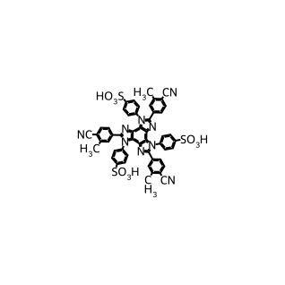 Cc1cc(-c2nc3c(c4nc(-c5ccc(C#N)c(C)c5)n(-c5ccc(S(=O)(=O)O)cc5)c4c4nc(-c5ccc(C#N)c(C)c5)n(-c5ccc(S(=O)(=O)O)cc5)c34)n2-c2ccc(S(=O)(=O)O)cc2)ccc1C#N